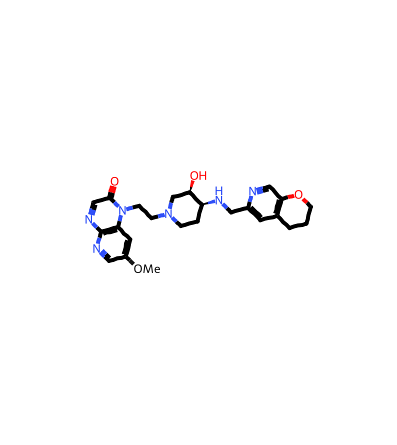 COc1cnc2ncc(=O)n(CCN3CC[C@H](NCc4cc5c(cn4)OCCC5)[C@H](O)C3)c2c1